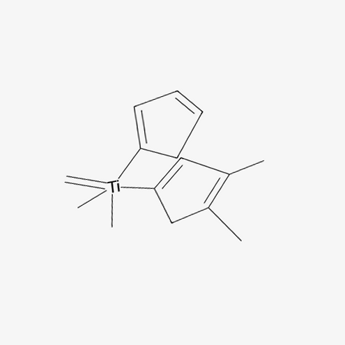 [CH2]=[Ti]([CH3])([CH3])([C]1=CC=CC1)[C]1=CC(C)=C(C)C1